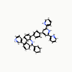 c1ccc(-c2nc3c(-c4ccc(-c5cc(-c6ccccn6)nc(-c6ccccn6)c5)cc4)cccc3c3c(-c4cccnc4)cccc23)cc1